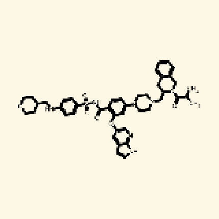 CC(C)C(=O)N1Cc2ccccc2CC1CN1CCN(c2ccc(C(=O)NS(=O)(=O)c3ccc(NCC4CCOCC4)cc3)c(Oc3cnc4[nH]ccc4c3)c2)CC1